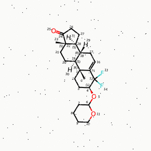 C[C@]12CC[C@H](OC3CCCCO3)C(F)(F)C1=CC[C@@H]1[C@@H]2CC[C@]2(C)C(=O)CC[C@@H]12